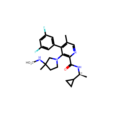 Cc1cnc(C(=O)N[C@@H](C)C2CC2)c(N2CCC(C)(NC(=O)O)C2)c1-c1cc(F)cc(F)c1